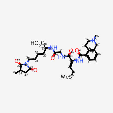 CSC/C=C(\NC(=O)c1cccc2c1CCN(C)C2)C(=O)NCC(=O)N[C@@H](CCCCN1C(=O)CC(C)C1=O)C(=O)O